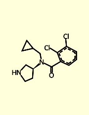 O=C(c1cccc(Cl)c1Cl)N(CC1CC1)[C@H]1CCNC1